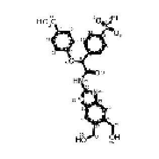 CCS(=O)(=O)c1ccc(C(Oc2ccc(C(=O)O)cc2)C(=O)Nc2nc3cc(CO)c(CO)cc3s2)cc1